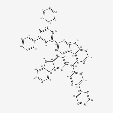 C1=CCC(c2nc(-c3ccccc3)nc(-c3ccc4c(c3)oc3cccc(N(c5ccc(-c6ccccc6)cc5)c5ccc6sc7ccccc7c6c5)c34)n2)C=C1